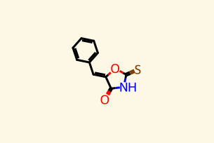 O=C1NC(=S)O/C1=C\c1ccccc1